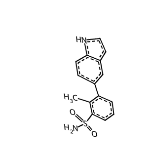 Cc1c(-c2ccc3[nH]ccc3c2)cccc1S(N)(=O)=O